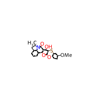 COc1cccc(Sc2c(O)c3c(=O)n4c5c(cccc5c3oc2=O)CC4C)c1